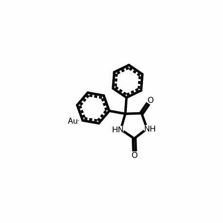 O=C1NC(=O)C(c2ccccc2)(c2ccccc2)N1.[Au]